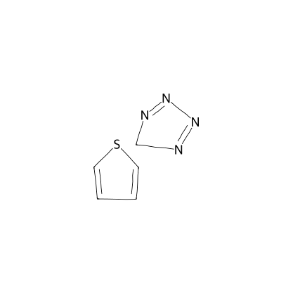 C1N=NN=N1.c1ccsc1